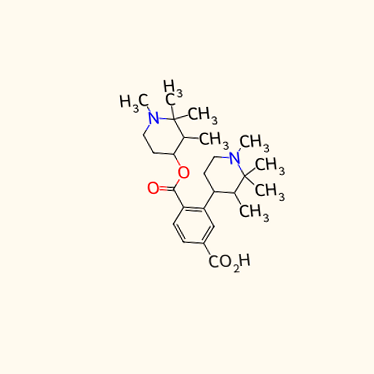 CC1C(OC(=O)c2ccc(C(=O)O)cc2C2CCN(C)C(C)(C)C2C)CCN(C)C1(C)C